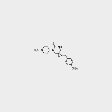 CC(C)COc1ccc(CC2CC23CNC(=S)N(C2CCN(C)CC2)C3)cc1